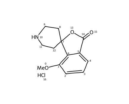 COc1cccc2c1C1(CCNCC1)OC2=O.Cl